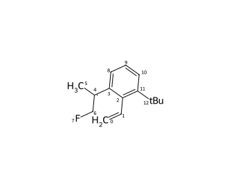 C=Cc1c([C](C)CF)cccc1C(C)(C)C